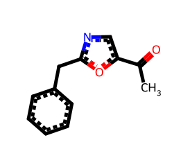 CC(=O)c1cnc(Cc2ccccc2)o1